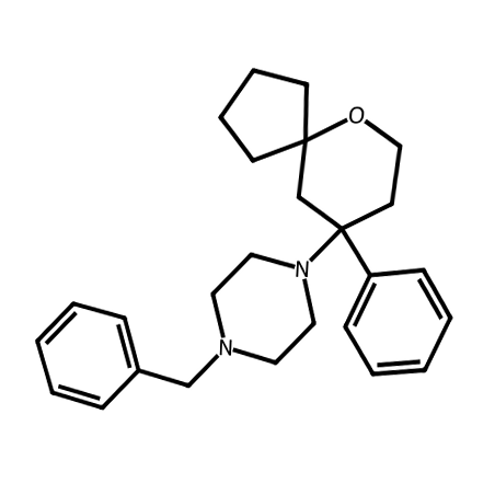 c1ccc(CN2CCN(C3(c4ccccc4)CCOC4(CCCC4)C3)CC2)cc1